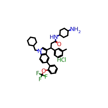 Cc1cccc(C(CC(=O)NC2CCC(N)CC2)c2cn(CC3CCCCC3)c3ccc(-c4ccccc4OC(F)(F)F)cc23)c1.Cl